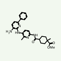 COC(=O)C1(C)CCC(C(=O)Nc2ccc(Nc3nc(-c4ccccc4)ccc3N)c(C)n2)CC1